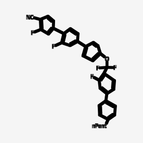 CCCCCc1ccc(-c2ccc(C(F)(F)Oc3ccc(-c4ccc(-c5ccc(C#N)c(F)c5)c(F)c4)cc3)c(F)c2)cc1